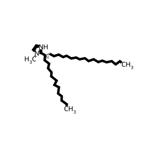 CCCCCCCCCCCCCCCCCC[C@H](CCCCCCCCCCCCC)c1[nH]cc[n+]1C